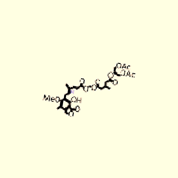 COc1c(C)c2c(c(O)c1C/C=C(\C)CCC(=O)OCOC(=O)CC(C)CC(=O)OC(COC(C)=O)COC(C)=O)C(=O)OC2